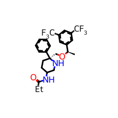 CCC(=O)NC1CC[C@@](CO[C@H](C)c2cc(C(F)(F)F)cc(C(F)(F)F)c2)(c2ccccc2)NC1